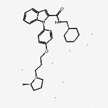 C[C@@H]1CCCN1CCCOc1ccc(-n2c(C(=O)NCC3CCCCC3)cc3ccccc32)cc1